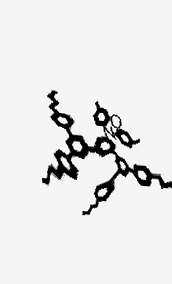 CCCCc1ccc(-c2cc(-c3ccc(CCCC)cc3)cc(-c3cc(-c4cc(-c5ccc(CCCC)cc5)cc(-c5ccc(CCCC)cc5)c4)cc(N4c5ccc(C)cc5Oc5cc(C)ccc54)c3)c2)cc1